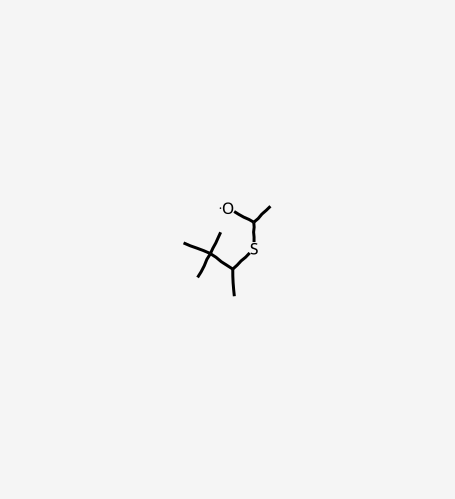 CC([O])SC(C)C(C)(C)C